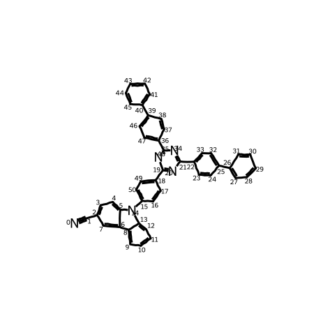 N#Cc1ccc2c(c1)c1ccccc1n2-c1ccc(-c2nc(-c3ccc(-c4ccccc4)cc3)nc(-c3ccc(-c4ccccc4)cc3)n2)cc1